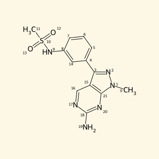 Cn1nc(-c2cccc(NS(C)(=O)=O)c2)c2cnc(N)nc21